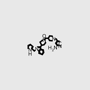 Nc1cc(CN2CCC(C(=O)N3CCC(c4cn(CC5=CC=CCN5)c5ccccc45)CC3)CC2)ccn1